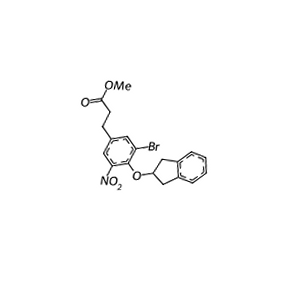 COC(=O)CCc1cc(Br)c(OC2Cc3ccccc3C2)c([N+](=O)[O-])c1